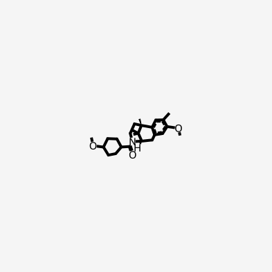 COc1cc2c(cc1C)[C@@]1(C)CCN(C(=O)C3CCC(OC)CC3)[C@@H](C2)C1(C)C